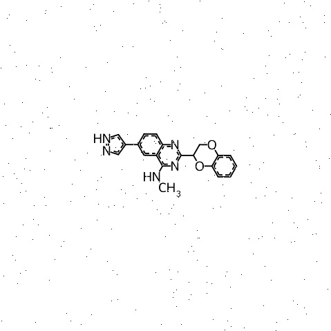 CNc1nc(C2COc3ccccc3O2)nc2ccc(-c3cn[nH]c3)cc12